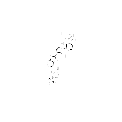 CCS(=O)(=O)N1CCC(Nc2c(Br)cnc3nc(-c4cc(C)n(-c5cccc(S(=O)(=O)NC)c5)c4C)[nH]c23)C1